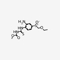 CCOC[S+]([O-])c1ccc(NC(=S)NC(=O)OC)c(N)c1